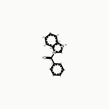 O=C(c1ccccc1)n1cnc2ccccc21